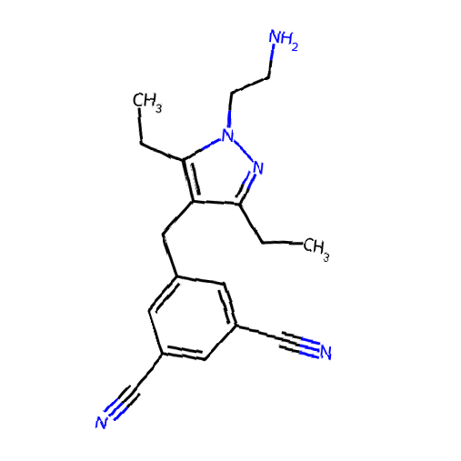 CCc1nn(CCN)c(CC)c1Cc1cc(C#N)cc(C#N)c1